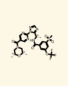 C[C@@H]1CN(C(=O)c2cnc(-n3ncnc3[C@H](C)NC(=O)c3cc(OC(F)(F)F)cc(S(C)(=O)=O)c3)nc2)C[C@H](C)O1